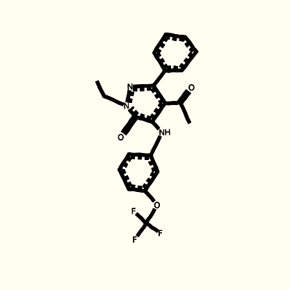 CCn1nc(-c2ccccc2)c(C(C)=O)c(Nc2cccc(OC(F)(F)F)c2)c1=O